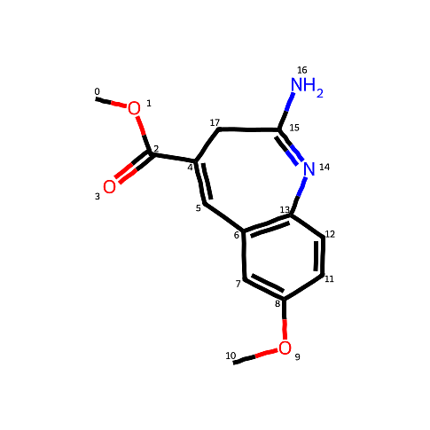 COC(=O)C1=Cc2cc(OC)ccc2N=C(N)C1